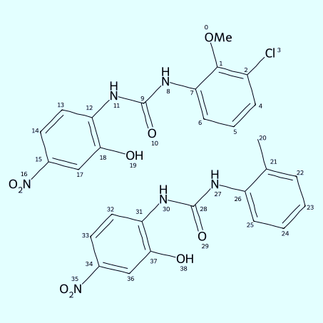 COc1c(Cl)cccc1NC(=O)Nc1ccc([N+](=O)[O-])cc1O.Cc1ccccc1NC(=O)Nc1ccc([N+](=O)[O-])cc1O